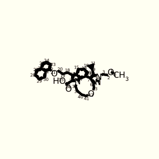 COCCn1nc2c(c1C1CC1)-c1cccc3c(CCCOc4cccc5ccccc45)c(C(=O)O)n(c13)CCCCOC2